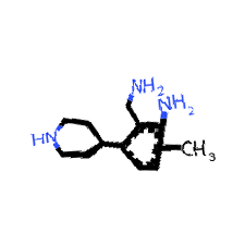 Cc1ccc(C2CCNCC2)c(CN)c1N